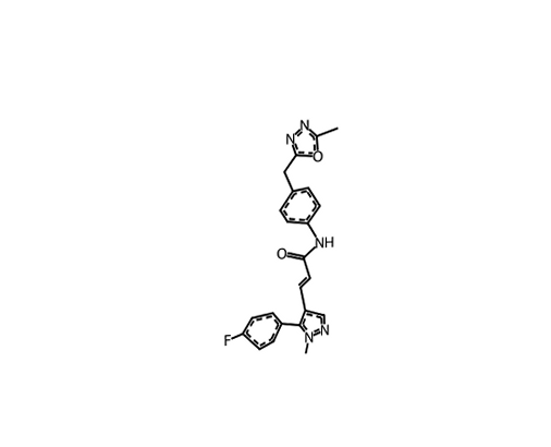 Cc1nnc(Cc2ccc(NC(=O)/C=C/c3cnn(C)c3-c3ccc(F)cc3)cc2)o1